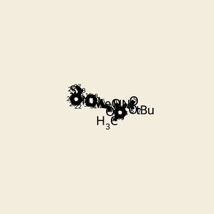 COc1c(NC(=O)OC(C)(C)C)ccc(C)c1OCCCN1CCN(c2cccc3sccc23)CC1